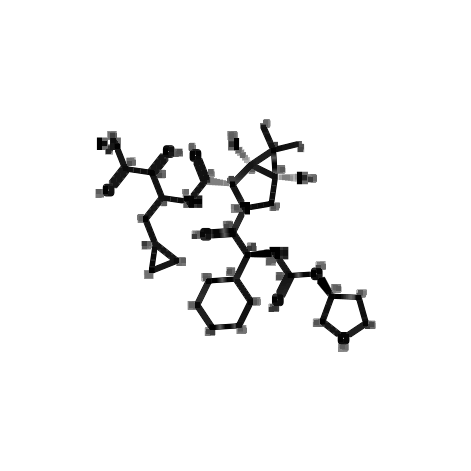 CC1(C)[C@@H]2[C@@H](C(=O)NC(CC3CC3)C(=O)C(N)=O)N(C(=O)[C@@H](NC(=O)O[C@H]3CCOC3)C3CCCCC3)C[C@@H]21